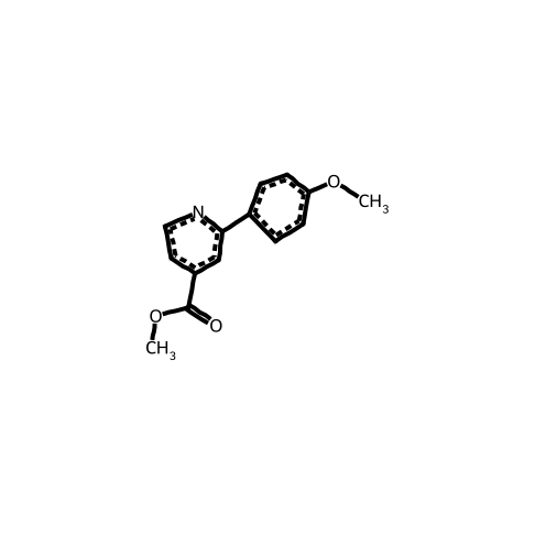 COC(=O)c1ccnc(-c2ccc(OC)cc2)c1